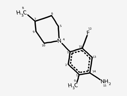 Cc1cc(N2CCC(C)CC2)c(F)cc1N